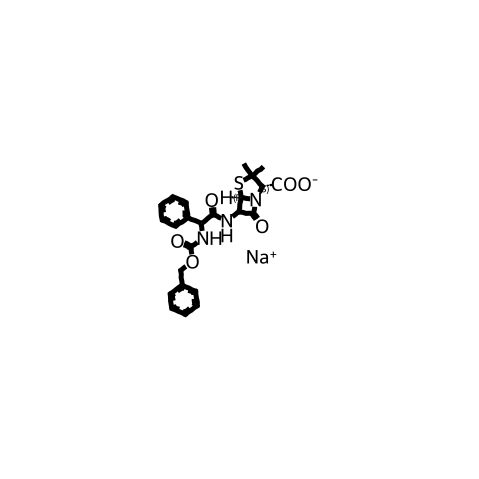 CC1(C)S[C@@H]2C(NC(=O)C(NC(=O)OCc3ccccc3)c3ccccc3)C(=O)N2[C@H]1C(=O)[O-].[Na+]